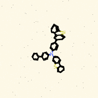 c1ccc(-c2ccc(N(c3ccc(-c4ccc5sc6ccccc6c5c4)cc3)c3ccc4c(c3)sc3ccccc34)cc2)cc1